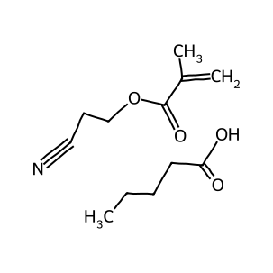 C=C(C)C(=O)OCCC#N.CCCCC(=O)O